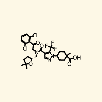 CC1(C)CC[C@H](CN(CC(=O)c2c(Cl)cccc2Cl)C(=O)c2cnn(C3CCC(C)(C(=O)O)CC3)c2C(F)(F)F)O1